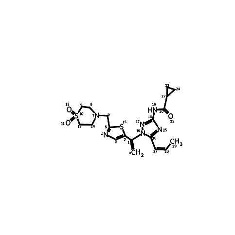 C=C(c1cnc(CN2CCS(=O)(=O)CC2)s1)n1nc(NC(=O)C2CC2)nc1/C=C\C